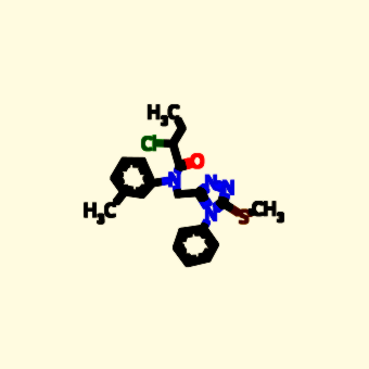 CCC(Cl)C(=O)N(Cc1nnc(SC)n1-c1ccccc1)c1cccc(C)c1